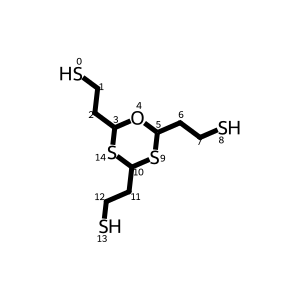 SCCC1OC(CCS)SC(CCS)S1